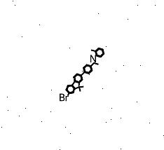 C/C(=N\c1ccccc1C)c1ccc(-c2ccc3c(c2)C(C)(C)c2cc(Br)ccc2-3)cc1